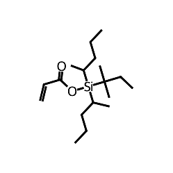 C=CC(=O)O[Si](C(C)CCC)(C(C)CCC)C(C)(C)CC